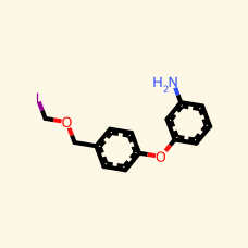 Nc1cccc(Oc2ccc(COCI)cc2)c1